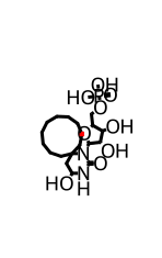 O=C1NC(O)CC2(CCCCCCCCCC2)N1C1OC(COP(=O)(O)O)C(O)C1O